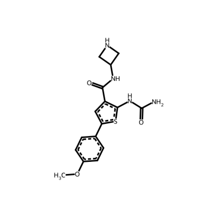 COc1ccc(-c2cc(C(=O)NC3CNC3)c(NC(N)=O)s2)cc1